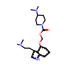 CN(C)CCc1c[nH]c2cccc(OCOC(=O)N3CCC(N(C)C)CC3)c12